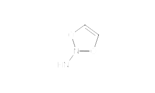 [NH]N1OC=CO1